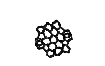 c1ccc(-c2c(-n3c4ccccc4c4ccccc43)c(-n3c4ccccc4c4ccccc43)c(-c3ccncc3)c(-n3c4ccccc4c4ccccc43)c2-n2c3ccccc3c3ccccc32)nc1